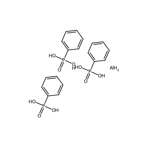 O=P(O)(O)c1ccccc1.O=P(O)(O)c1ccccc1.O=P(O)(O)c1ccccc1.[AlH3]